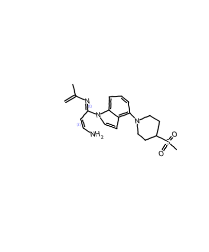 C=C(C)/N=C(\C=C/N)n1ccc2c(N3CCC(S(C)(=O)=O)CC3)cccc21